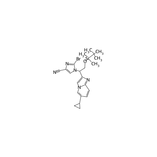 CC(C)(C)[Si](C)(C)OCC(c1cn2cc(C3CC3)ccc2n1)n1cc(C#N)nc1Br